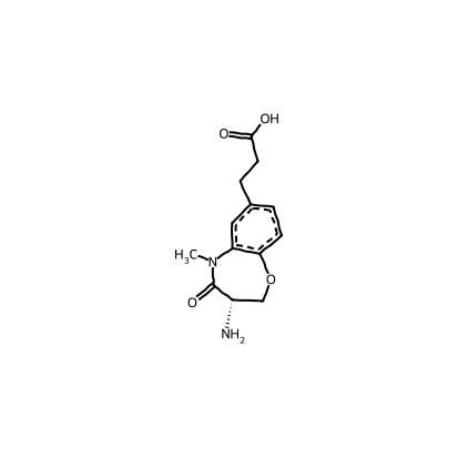 CN1C(=O)[C@@H](N)COc2ccc(CCC(=O)O)cc21